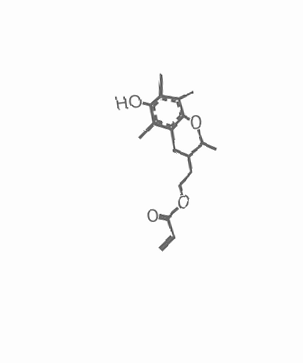 C=CC(=O)OCCC1Cc2c(C)c(O)c(C)c(C)c2OC1C